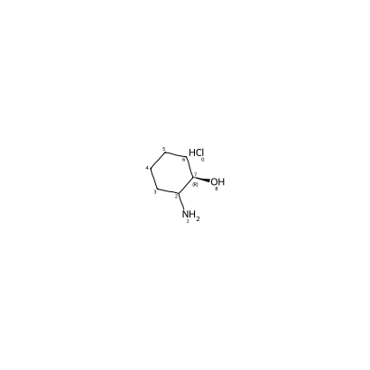 Cl.NC1CCCC[C@H]1O